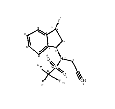 C#CCN([C@@H]1C[C@H](F)c2ccccc21)S(=O)(=O)C(F)(F)F